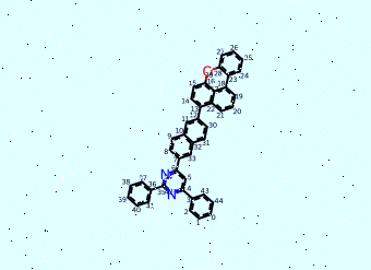 c1ccc(-c2cc(-c3ccc4cc(-c5ccc6c7c(cccc57)-c5ccccc5O6)ccc4c3)nc(-c3ccccc3)n2)cc1